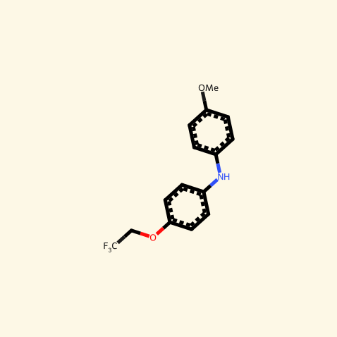 COc1ccc(Nc2ccc(OCC(F)(F)F)cc2)cc1